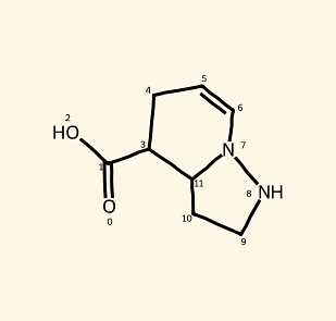 O=C(O)C1CC=CN2NCCC12